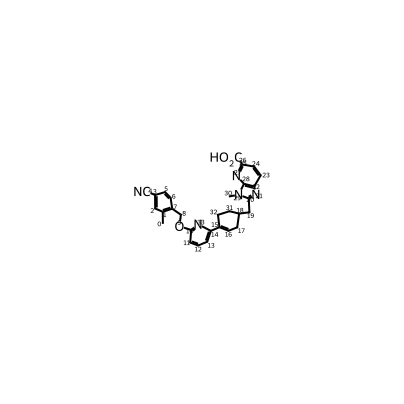 Cc1cc(C#N)ccc1COc1cccc(C2=CCC(Cc3nc4ccc(C(=O)O)nc4n3C)CC2)n1